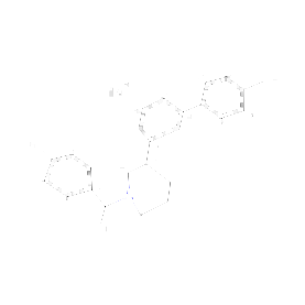 CCC(c1ccc(C(F)(F)F)cc1)N1CCCC(c2cc(-c3ccc(C(F)(F)F)cc3)cc([C@H](C)CC)c2)C1